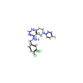 Cc1ccc(N2CCc3ncnc(NCc4ccc(Cl)c(Cl)c4)c3C2)nc1